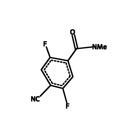 CNC(=O)c1cc(F)c(C#N)cc1F